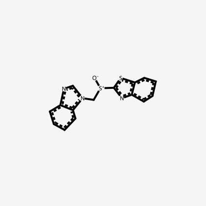 [O-][S+](Cn1cnc2ccccc21)c1nc2ccccc2s1